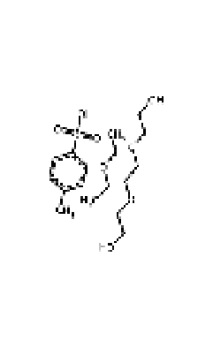 CCOCC.Cc1ccc(S(=O)(=O)O)cc1.OCCOCCOCCO